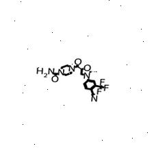 C[C@H]1O[C@H](C(=O)N2CCN(C(N)=O)CC2)CN1c1ccc(C#N)c(C(F)(F)F)c1